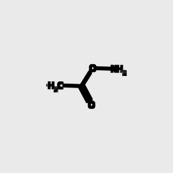 [CH2]C(=O)ON